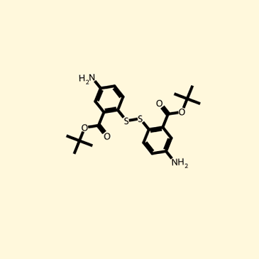 CC(C)(C)OC(=O)c1cc(N)ccc1SSc1ccc(N)cc1C(=O)OC(C)(C)C